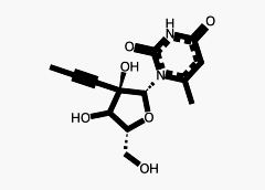 CC#C[C@@]1(O)C(O)[C@@H](CO)O[C@H]1n1c(C)cc(=O)[nH]c1=O